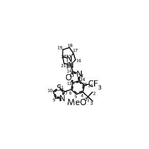 COC(C)(C)c1cc(-c2nccs2)c2oc(N3CC4CCC(C3)N4)nc2c1C(F)(F)F